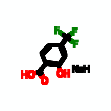 O=C(O)c1ccc(C(F)(F)F)cc1O.[NaH]